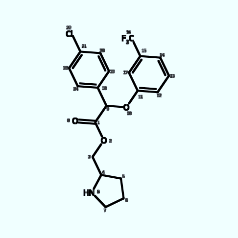 O=C(OCC1CCCN1)C(Oc1cccc(C(F)(F)F)c1)c1ccc(Cl)cc1